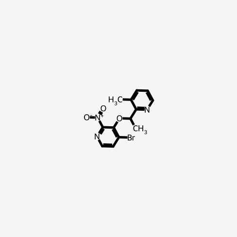 Cc1cccnc1C(C)Oc1c(Br)ccnc1[N+](=O)[O-]